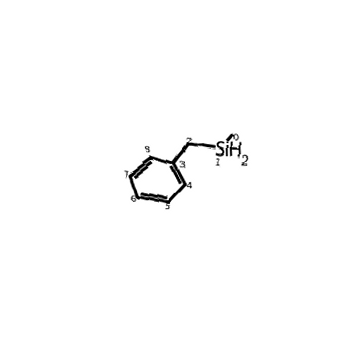 C[SiH2]Cc1ccccc1